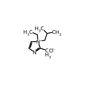 CC[N+]1(CC(C)C)C=CN=C1C.[Cl-]